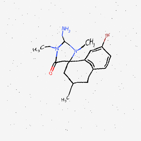 CC1Cc2ccc(Br)cc2C2(C1)C(=O)N(C)C(N)N2C